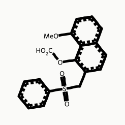 COc1cccc2ccc(CS(=O)(=O)c3ccccc3)c(OC(=O)O)c12